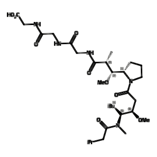 CC[C@H](C)[C@@H]([C@@H](CC(=O)N1CCC[C@H]1[C@H](OC)[C@@H](C)C(=O)NCC(=O)NCC(=O)NCC(=O)O)OC)N(C)C(=O)CC(C)C